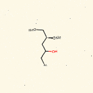 COC[C@H](CC(O)CC(C)=O)OC